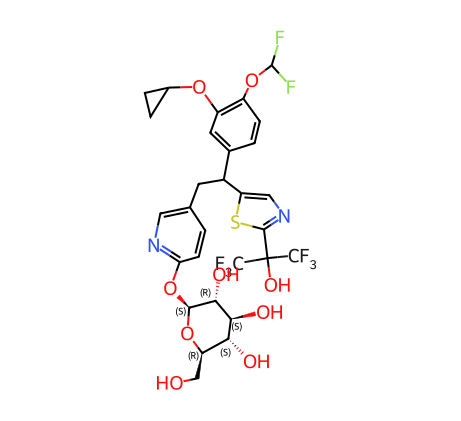 OC[C@H]1O[C@@H](Oc2ccc(CC(c3ccc(OC(F)F)c(OC4CC4)c3)c3cnc(C(O)(C(F)(F)F)C(F)(F)F)s3)cn2)[C@H](O)[C@@H](O)[C@@H]1O